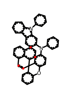 c1ccc(N(c2ccc3c(c2)C2(c4ccccc4O3)c3ccccc3-c3cccc4cccc2c34)c2ccc3c4ccccc4n(-c4ccccc4)c3c2)cc1